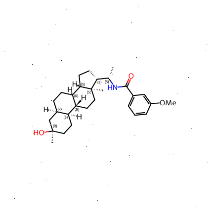 COc1cccc(C(=O)N[C@@H](C)[C@H]2CC[C@H]3[C@@H]4CC[C@@H]5C[C@](C)(O)CC[C@@H]5[C@H]4CC[C@]23C)c1